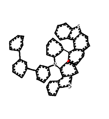 c1ccc(-c2cccc(-c3cccc(N(c4ccccc4-c4cccc5ccc6sc7ccccc7c6c45)c4cccc5sc6ccccc6c45)c3)c2)cc1